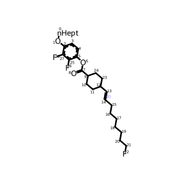 CCCCCCCOc1ccc(OC(=O)C2CCC(/C=C/CCCCCCCF)CC2)c(F)c1F